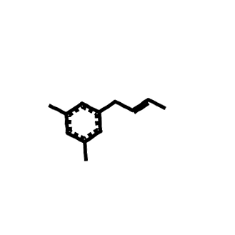 CC=CCc1cc(C)cc(C)c1